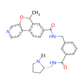 CCN1CCC[C@H]1CNC(=O)c1cccc(CNC(=O)c2ccc3c(c2)C(C)Oc2cnccc2-3)c1